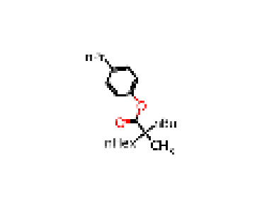 CCCCCCC(C)(CCCC)C(=O)Oc1ccc(CCC)cc1